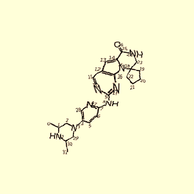 CC1CN(c2ccc(Nc3ncc4cc5n(c4n3)C3(CCCC3)CNC5=O)nc2)CC(C)N1